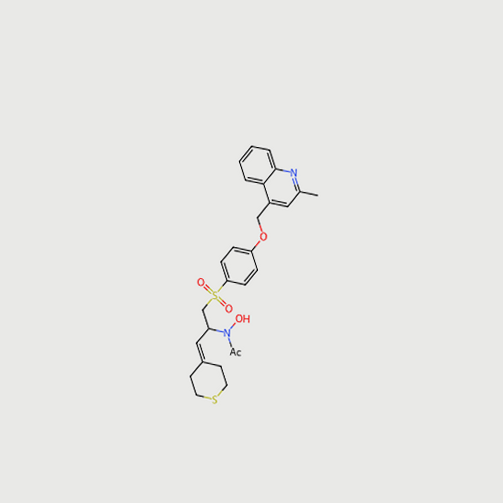 CC(=O)N(O)C(C=C1CCSCC1)CS(=O)(=O)c1ccc(OCc2cc(C)nc3ccccc23)cc1